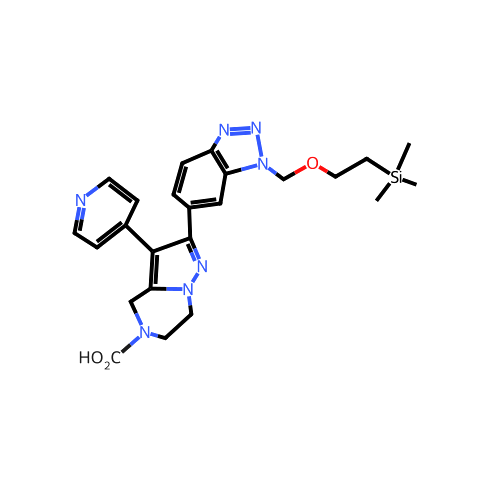 C[Si](C)(C)CCOCn1nnc2ccc(-c3nn4c(c3-c3ccncc3)CN(C(=O)O)CC4)cc21